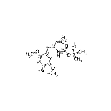 C=CC(Cc1cc(OC)c(Br)cc1OC)NC(=O)OC(C)(C)C